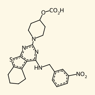 O=C(O)OC1CCN(c2nc(NCc3cccc([N+](=O)[O-])c3)c3c4c(sc3n2)CCCC4)CC1